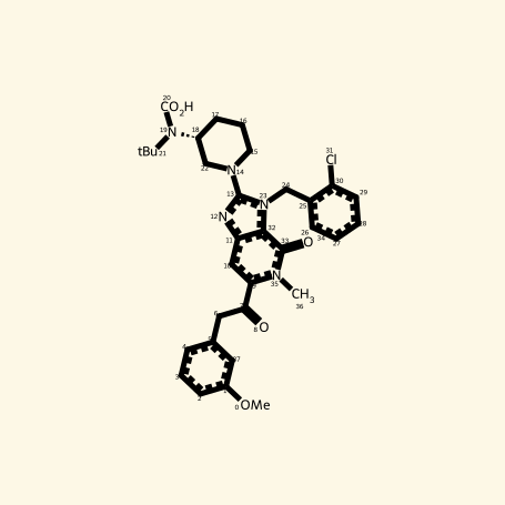 COc1cccc(CC(=O)c2cc3nc(N4CCC[C@@H](N(C(=O)O)C(C)(C)C)C4)n(Cc4ccccc4Cl)c3c(=O)n2C)c1